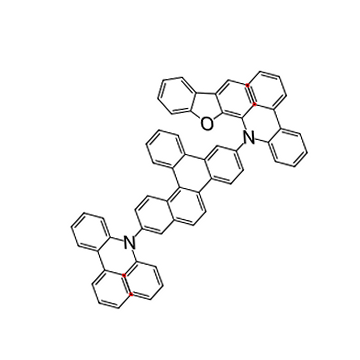 c1ccc(-c2ccccc2N(c2ccccc2)c2ccc3c(ccc4c5ccc(N(c6ccccc6-c6ccccc6)c6cccc7c6oc6ccccc67)cc5c5ccccc5c34)c2)cc1